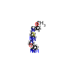 COc1cccc(CN(C)Cc2cc3nc(N4CCOC(c5cccc6[nH]ncc56)C4)ncc3s2)c1